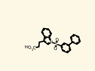 O=C(O)CCc1cn(S(=O)(=O)c2cccc(-c3ccccc3)c2)c2ccccc12